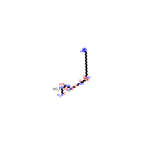 CC(=O)N(CC(=O)N[C@@H](CO)C(=O)N[C@@H](CCC(N)=O)C(=O)O)OCCOCCNC(=O)CCCS(=O)(=O)NC(=O)CCCCCCCCCCCCCCCc1nnn[nH]1